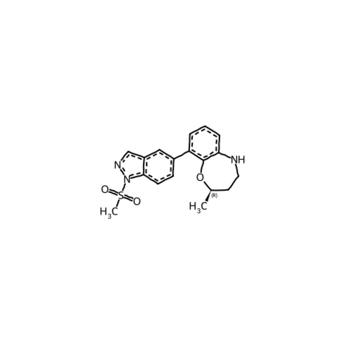 C[C@@H]1CCNc2cccc(-c3ccc4c(cnn4S(C)(=O)=O)c3)c2O1